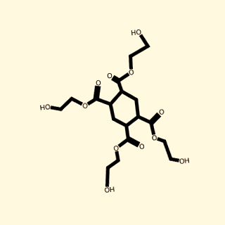 O=C(OCCO)C1CC(C(=O)OCCO)C(C(=O)OCCO)CC1C(=O)OCCO